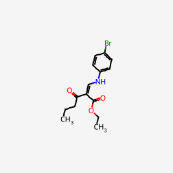 CCCC(=O)/C(=C/Nc1ccc(Br)cc1)C(=O)OCC